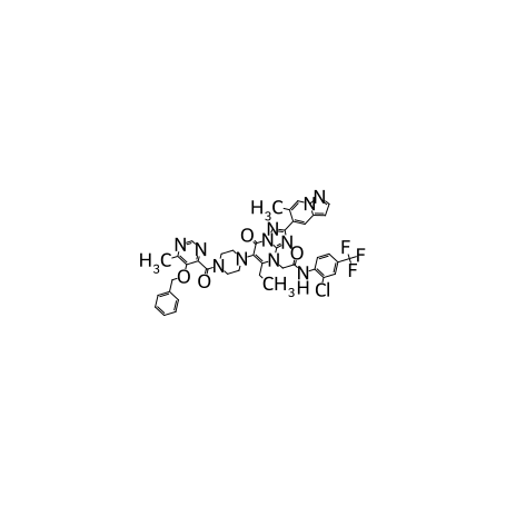 CCc1c(N2CCN(C(=O)c3ncnc(C)c3OCc3ccccc3)CC2)c(=O)n2nc(-c3cc4ccnn4cc3C)nc2n1CC(=O)Nc1ccc(C(F)(F)F)cc1Cl